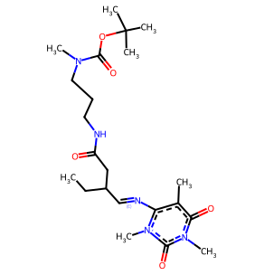 CCC(/C=N/c1c(C)c(=O)n(C)c(=O)n1C)CC(=O)NCCCN(C)C(=O)OC(C)(C)C